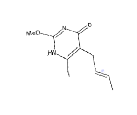 C/C=C/Cc1c(C)[nH]c(OC)nc1=O